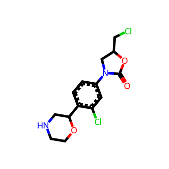 O=C1OC(CCl)CN1c1ccc(C2CNCCO2)c(Cl)c1